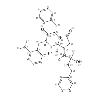 CN(C)c1cccc(F)c1CN1C[C@H]2N(C(=O)CN2N(C)C(C)(O)NCc2ccccc2)[C@@H](Cc2ccccc2)C1=O